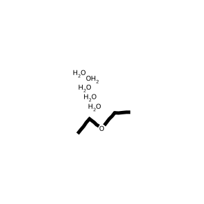 CCOCC.O.O.O.O.O